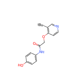 CC(C)(C)c1cnccc1OCC(=O)Nc1ccc(O)cc1